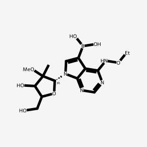 CCONc1ncnc2c1c(B(O)O)cn2[C@@H]1OC(CO)C(O)C1(C)OC